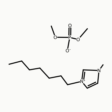 CCCCCCC[n+]1ccn(C)c1.COP(=O)([O-])OC